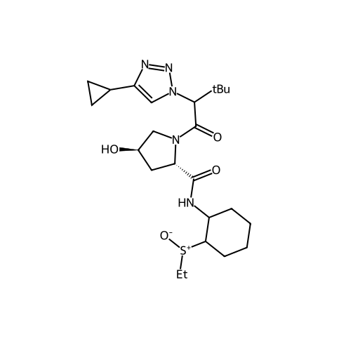 CC[S+]([O-])C1CCCCC1NC(=O)[C@@H]1C[C@@H](O)CN1C(=O)C(n1cc(C2CC2)nn1)C(C)(C)C